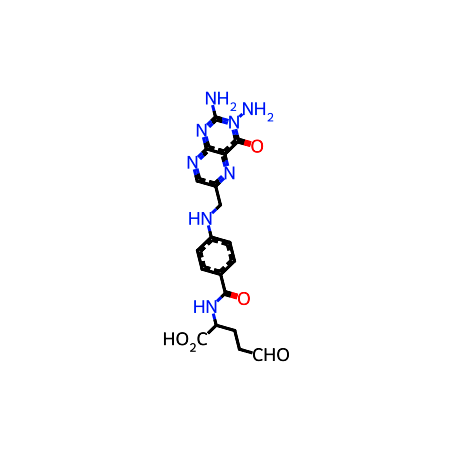 Nc1nc2ncc(CNc3ccc(C(=O)NC(CCC=O)C(=O)O)cc3)nc2c(=O)n1N